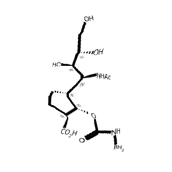 BNC(=O)O[C@H]1[C@@H]([C@H](NC(C)=O)[C@@H](O)[C@@H](O)CO)CC[C@@H]1C(=O)O